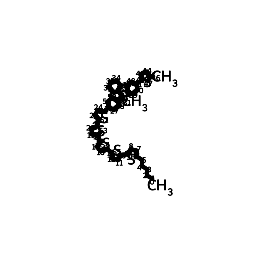 CCCCCCc1ccc(-c2ccc(-c3ccc(-c4ccc(-c5ccc(-c6ccc([Si](C)(c7ccccc7)c7ccc(-c8ccc(C)s8)cc7)cc6)s5)s4)s3)s2)s1